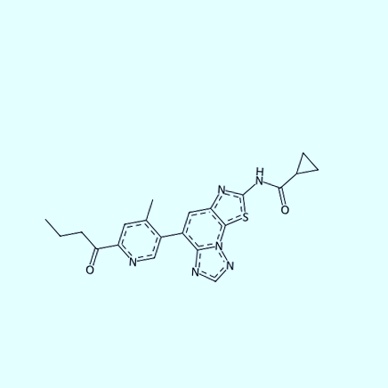 CCCC(=O)c1cc(C)c(-c2cc3nc(NC(=O)C4CC4)sc3n3ncnc23)cn1